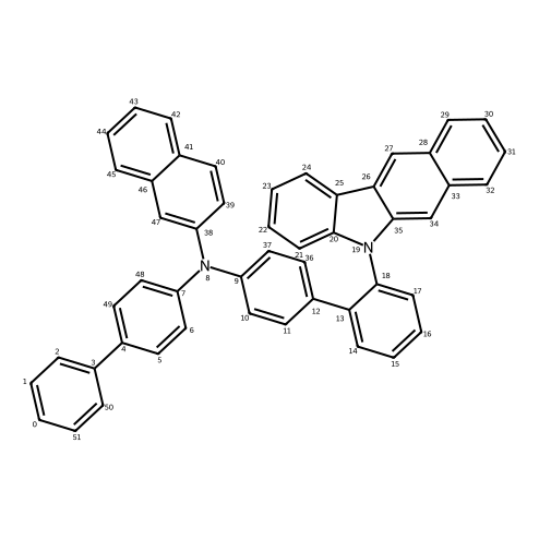 c1ccc(-c2ccc(N(c3ccc(-c4ccccc4-n4c5ccccc5c5cc6ccccc6cc54)cc3)c3ccc4ccccc4c3)cc2)cc1